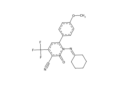 COc1ccc(-c2cc(C(F)(F)F)c(C#N)c(=O)n2N=C2CCCCC2)cc1